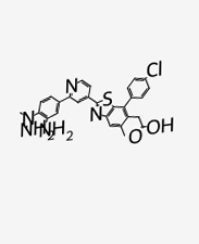 Cc1cc2nc(-c3ccnc(-c4ccc(N(C)N)c(N)c4)c3)sc2c(-c2ccc(Cl)cc2)c1CC(=O)O